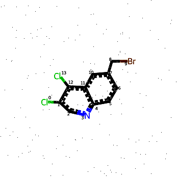 Clc1cnc2ccc(CBr)cc2c1Cl